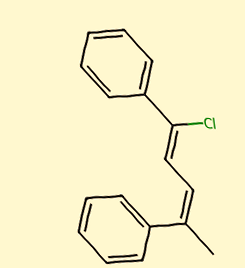 CC(=CC=C(Cl)c1ccccc1)c1ccccc1